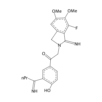 CCCC(=N)c1cc(C(=O)CN2Cc3cc(OC)c(OC)c(F)c3C2=N)ccc1O